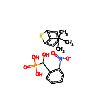 CC(C)(C)c1c2cccc1S2.O=[N+]([O-])c1ccccc1C(O)P(=O)(O)O